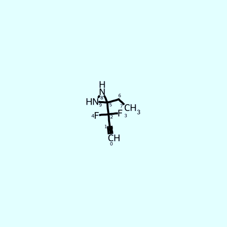 C#CC(F)(F)C1(CC)NN1